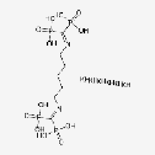 O=P(O)(O)C(=NCCCCCN=C(P(=O)(O)O)P(=O)(O)O)P(=O)(O)O.[KH].[KH].[KH].[KH].[KH].[KH]